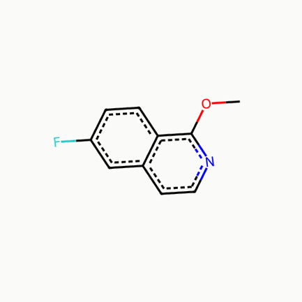 COc1nccc2cc(F)ccc12